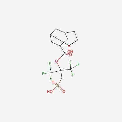 O=C(OC(CS(=O)(=O)O)(C(F)(F)F)C(F)(F)F)C12CC3CC(C1)C(O)C(C3)C2